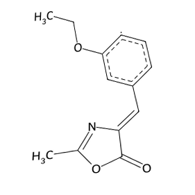 CCOc1[c]ccc(/C=C2\N=C(C)OC2=O)c1